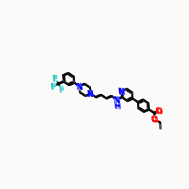 CCOC(=O)c1ccc(-c2ccnc(NCCCCN3CCN(c4cccc(C(F)(F)F)c4)CC3)c2)cc1